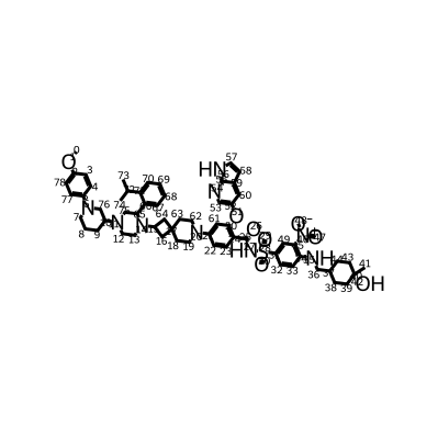 COc1ccc(N2CCCC(N3CCN(C4CC5(CCN(c6ccc(C(=O)NS(=O)(=O)c7ccc(NCC8CCC(C)(O)CC8)c([N+](=O)[O-])c7)c(Oc7cnc8[nH]ccc8c7)c6)CC5)C4)C(c4ccccc4C(C)C)C3)C2)cc1